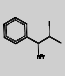 CCCC(c1ccccc1)C(C)I